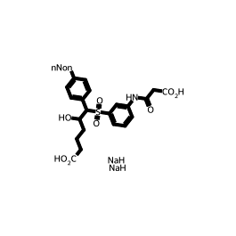 CCCCCCCCCc1ccc(C(C(O)CCCC(=O)O)S(=O)(=O)c2cccc(NC(=O)CC(=O)O)c2)cc1.[NaH].[NaH]